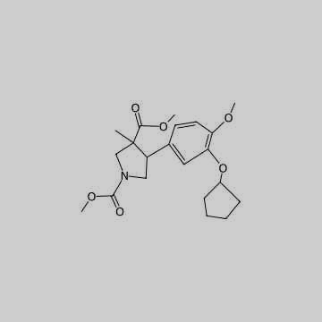 COC(=O)N1CC(c2ccc(OC)c(OC3CCCC3)c2)C(C)(C(=O)OC)C1